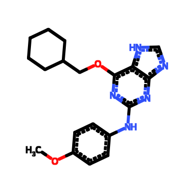 COc1ccc(Nc2nc(OCC3CCCCC3)c3[nH]cnc3n2)cc1